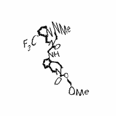 CNCCN(Cc1ncccc1C(F)(F)F)C(=O)CNc1cccc2c1CCN(C(=O)OCCOC)C2